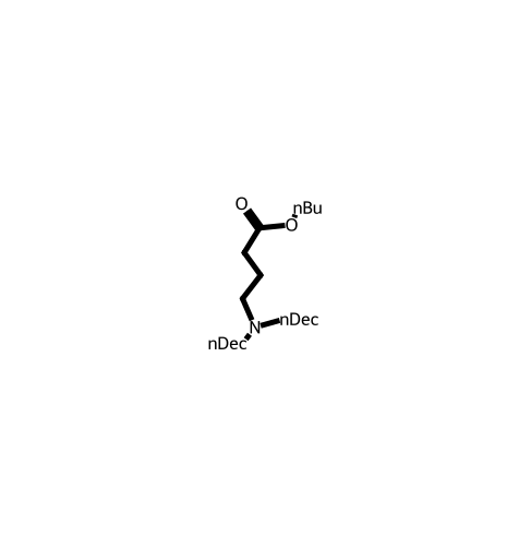 CCCCCCCCCCN(CCCCCCCCCC)CCCC(=O)OCCCC